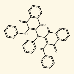 O=C1C(Nc2ccccc2)=C(N(C2=C(Nc3ccccc3)C(=O)c3ccccc3C2=O)c2ccccc2)C(=O)c2ccccc21